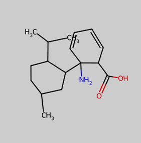 CC1CCC(C(C)C)C(C2(N)C=CC=CC2C(=O)O)C1